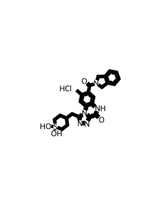 Cc1cc2c(cc1C(=O)N1Cc3ccccc3C1)[nH]c(=O)c1nnc(CC3CCS(O)(O)CC3)n12.Cl